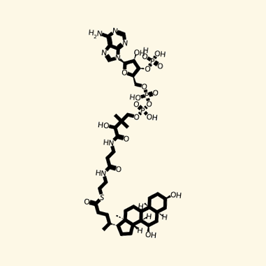 CC(CCC(=O)SCCNC(=O)CCNC(=O)C(O)C(C)(C)COP(=O)(O)OP(=O)(O)OC[C@H]1O[C@@H](n2cnc3c(N)ncnc32)[C@H](O)[C@@H]1OP(=O)(O)O)[C@H]1CC[C@H]2[C@@H]3[C@H](O)C[C@@H]4C[C@H](O)CC[C@]4(C)[C@H]3CC[C@]12C